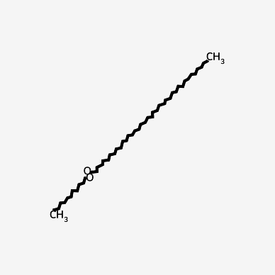 CCCCCCCCCCCCCCCCCCCCCCCCCCCCCCCCCCCCCCC(=O)OCCCCCCCCCCCC